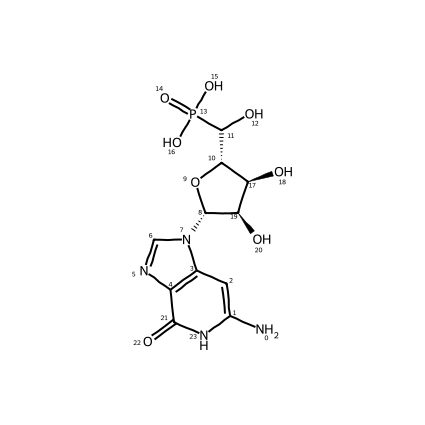 Nc1cc2c(ncn2[C@@H]2O[C@H](C(O)P(=O)(O)O)[C@@H](O)[C@H]2O)c(=O)[nH]1